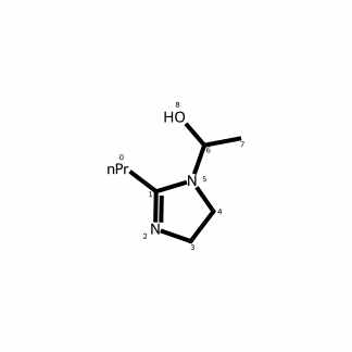 CCCC1=NCCN1C(C)O